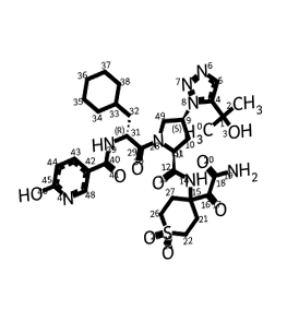 CC(C)(O)c1cnnn1[C@H]1C[C@@H](C(=O)NC2(C(=O)C(N)=O)CCS(=O)(=O)CC2)N(C(=O)[C@@H](CC2CCCCC2)NC(=O)c2ccc(O)nc2)C1